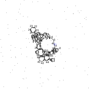 CO[C@H]1/C=C/CCN(C)C(=O)C[C@](O)(C(=O)NS(=O)(=O)c2ccccc2)c2ccc3c(c2)N(C[C@@H]2CC[C@H]21)C[C@@]1(CCCc2cc(Cl)ccc21)CO3